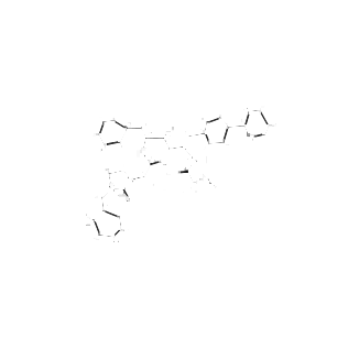 CC(C)(C)[C@H](NC(=O)O)C(=O)N[C@@H](Cc1ccc(-c2ccccn2)cc1)C[C@H](O)[C@H](Cc1ccccc1)NC(=O)[C@@H](N1CCN(Cc2ccccc2O)C1=O)C(C)(C)C